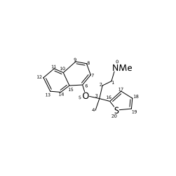 CNCCC(C)(Oc1cccc2ccccc12)c1cccs1